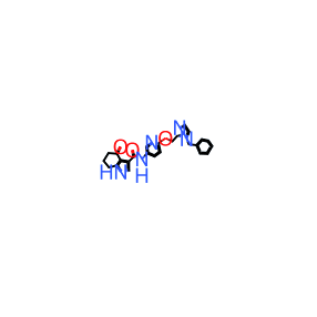 O=C(Nc1ccc(OCc2nccn2Cc2ccccc2)nc1)c1c[nH]c2c1C(=O)CCC2